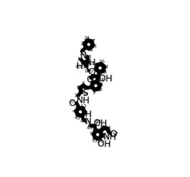 O=C(NCc1ccc(-c2cccc([C@](O)(C(=O)OC[C@H]3[C@H]4CN(Cc5ccccc5)C[C@@H]34)c3ccccc3)c2)s1)c1ccc(CNC[C@H](O)c2ccc(O)c3[nH]c(=O)ccc23)cc1